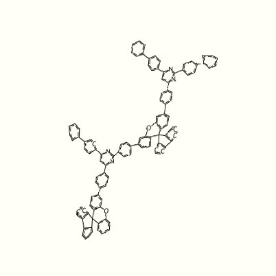 c1ccc(-c2ccc(-c3cc(-c4ccc(-c5ccc6c(c5)Oc5cc(-c7ccc(-c8nc(-c9ccc(-c%10ccccc%10)cc9)cc(-c9ccc(-c%10ccc%11c(c%10)Oc%10ccccc%10C%11%10c%11ccccc%11-c%11ccccc%11%10)cc9)n8)cc7)ccc5C65c6ccccc6-c6ccccc65)cc4)nc(-c4ccc(-c5ccccc5)cc4)n3)cc2)cc1